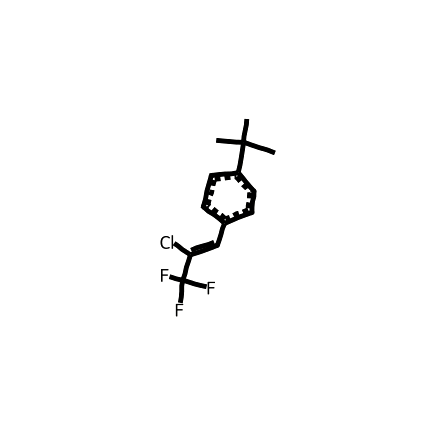 CC(C)(C)c1ccc(C=C(Cl)C(F)(F)F)cc1